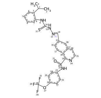 CC(C)c1ccccc1NC(=S)N/N=C/c1ccc2c(C(=O)Nc3ccc(OC(F)(F)F)cc3)nccc2c1